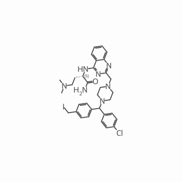 CN(C)CC[C@H](Nc1nc(CN2CCN(C(c3ccc(Cl)cc3)c3ccc(CI)cc3)CC2)nc2ccccc12)C(N)=O